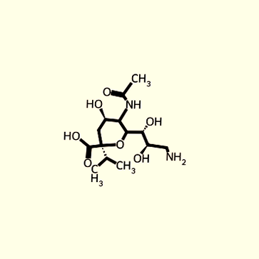 CC(=O)NC1C([C@H](O)[C@H](O)CN)O[C@](C(=O)O)(C(C)C)C[C@H]1O